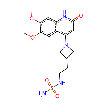 COc1cc2[nH]c(=O)cc(N3CC(CCNS(N)(=O)=O)C3)c2cc1OC